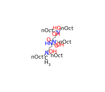 CCCCCCCCC(C)CN(CCCCC1NC(=O)C(CCCCN(CC(O)CCCCCCCC)CC(O)CCCCCCCC)N(CC(O)CCCCCCCC)C1=O)CC(O)CCCCCCCC